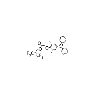 Cc1cc([S+](c2ccccc2)c2ccccc2)cc(C)c1OCC(=O)OCC(C(F)(F)F)C(F)(F)F